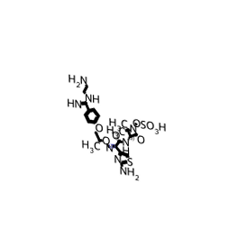 CC(COc1ccc(C(=N)NCCN)cc1)O/N=C(\C(=O)N[C@@H]1C(=O)N(OS(=O)(=O)O)C1(C)C)c1csc(N)n1